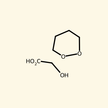 C1CCOOC1.O=C(O)CO